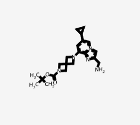 CC(C)(C)OC(=O)N1CC2(C1)CN(c1cc(C3CC3)cn3cc(CN)nc13)C2